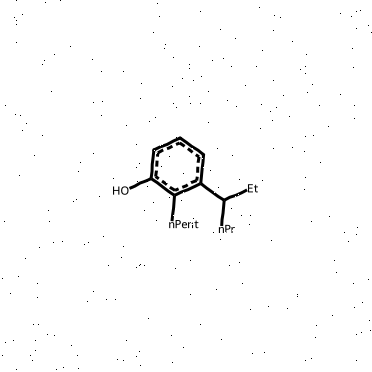 CCCCCc1c(O)cccc1C(CC)CCC